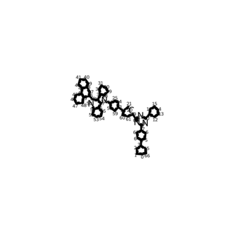 c1ccc(-c2ccc(-c3nc(-c4ccccc4)nc(-c4ccc(-c5ccc(-n6c7ccccc7c7c(-c8cc9ccccc9c9ccccc89)nc8ccccc8c76)cc5)cc4)n3)cc2)cc1